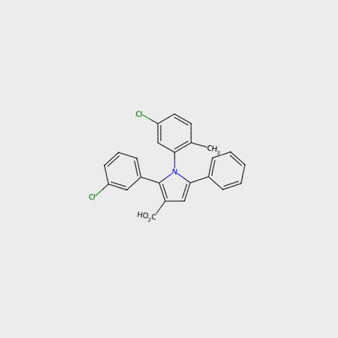 Cc1ccc(Cl)cc1-n1c(-c2ccccc2)cc(C(=O)O)c1-c1cccc(Cl)c1